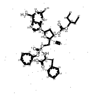 C#C[C@]1(CO[P@@](=O)(N[C@@H](Cc2ccccc2)C(=O)O)Oc2ccccc2)O[C@@H](n2cnc3c(N)nc(F)nc32)C[C@@H]1OC(=O)OC(CC)CC